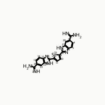 N=C(N)c1ccc2nc(-c3ccc(-c4nc5ccc(C(=N)N)cc5[nH]4)[se]3)[nH]c2c1